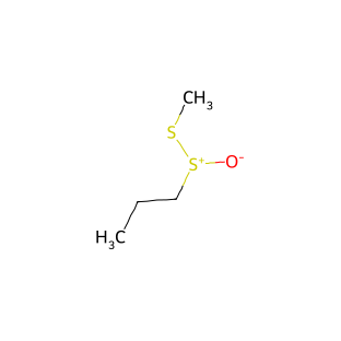 CCC[S+]([O-])SC